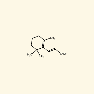 CC1=C(/C=C/[C]=O)C(C)(C)CCC1